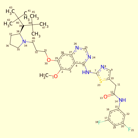 COc1cc2c(Nc3ncc(CC(=O)Nc4cc(F)cc(F)c4)s3)ncnc2cc1OCCCN1CCC[C@H]1C(C(C)(C)C)C(C)(C)C